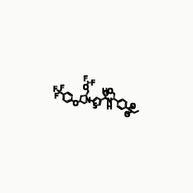 CCS(=O)(=O)c1ccc([C@H](CO)NC(=O)c2csc(N3C[C@@H](Oc4ccc(C(F)(F)F)cc4)C[C@H]3COC(F)F)c2)cc1